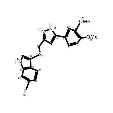 COc1ccc(-c2cc(CSc3c[nH]c4cc(F)ccc34)n[nH]2)cc1OC